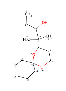 CCC(O)C(C)(C)[C@@H]1CCOC2(CCCCC2)O1